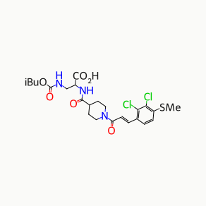 CSc1ccc(C=CC(=O)N2CCC(C(=O)NC(CNC(=O)OCC(C)C)C(=O)O)CC2)c(Cl)c1Cl